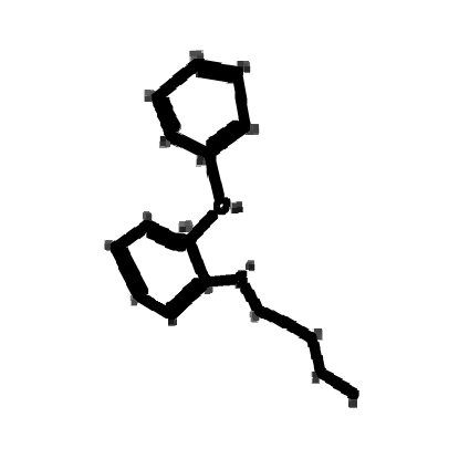 CCCCSc1ccccc1Oc1ccccc1